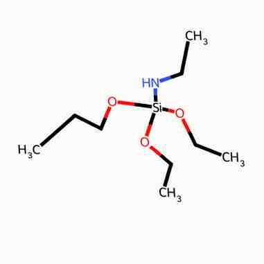 CCCO[Si](NCC)(OCC)OCC